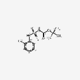 CC(C)(C)OC(=O)NS(=O)(=O)Nc1ccccc1Cl